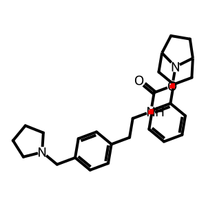 O=C(NCCc1ccc(CN2CCCC2)cc1)ON1C2CCC1CC(c1ccccc1)C2